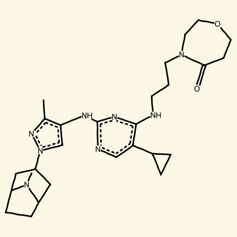 Cc1nn(C2CC3CCC(C2)N3C)cc1Nc1ncc(C2CC2)c(NCCCN2CCOCCC2=O)n1